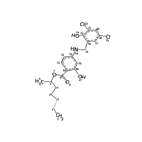 CCCCCC(C)OC(=O)c1ccc(NCc2cc(Cl)cc(Cl)c2O)cc1O